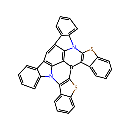 c1ccc2c3c(sc2c1)-n1c2ccccc2c2cc4c5ccccc5n5c4c(c21)B3c1sc2ccccc2c1-5